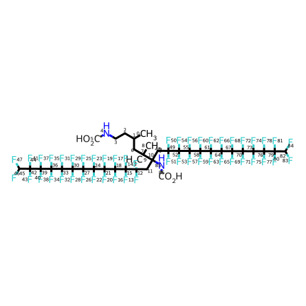 CC(CCNC(=O)O)CC(C)(C)C(CC(F)(F)C(F)(F)C(F)(F)C(F)(F)C(F)(F)C(F)(F)C(F)(F)C(F)(F)C(F)(F)C(F)(F)C(F)(F)C(F)F)(CC(F)(F)C(F)(F)C(F)(F)C(F)(F)C(F)(F)C(F)(F)C(F)(F)C(F)(F)C(F)(F)C(F)(F)C(F)(F)C(F)F)NC(=O)O